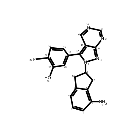 Nc1cccc2c1CC(n1nc3ncncc3c1-c1ccc(F)c(O)c1)C2